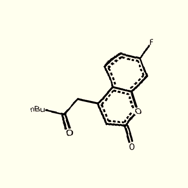 CCCCC(=O)Cc1cc(=O)oc2cc(F)ccc12